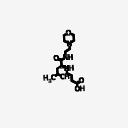 CC(C)C[C@H](NCCCC(=O)O)C(=O)NCCN1CCOCC1